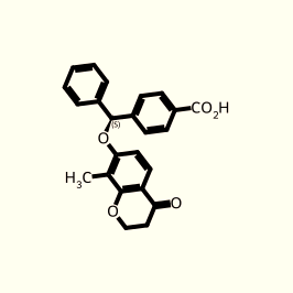 Cc1c(O[C@@H](c2ccccc2)c2ccc(C(=O)O)cc2)ccc2c1OCCC2=O